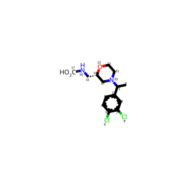 CC(c1ccc(Cl)c(Cl)c1)N1CCO[C@@H](CNC(=O)O)C1